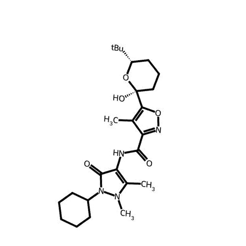 Cc1c(C(=O)Nc2c(C)n(C)n(C3CCCCC3)c2=O)noc1[C@]1(O)CCC[C@@H](C(C)(C)C)O1